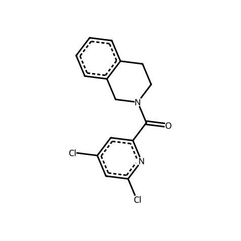 O=C(c1cc(Cl)cc(Cl)n1)N1CCc2ccccc2C1